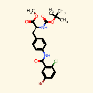 COC(=O)[C@H](Cc1ccc(NC(=O)c2cc(Br)ccc2Cl)cc1)NC(=O)OC(C)(C)C